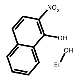 CCO.O=[N+]([O-])c1ccc2ccccc2c1O